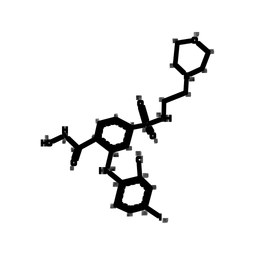 O=C(NO)c1ccc(S(=O)(=O)NCCN2CCOCC2)cc1Nc1ccc(I)cc1Cl